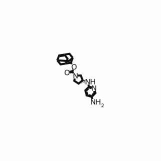 Nc1ccc(N[C@@H]2CCN(C(=O)OC3C4CC5=CC(C4)CC3C5)C2)nc1